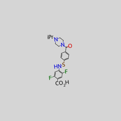 CC(C)N1CCN(C(=O)c2ccc(SNc3cc(F)c(C(=O)O)cc3F)cc2)CC1